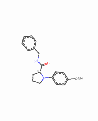 COc1ccc(N2CCC[C@H]2C(=O)NCc2ccccc2)cc1